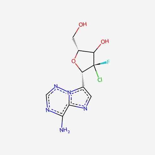 Nc1ncnn2c([C@@H]3O[C@H](CO)C(O)[C@]3(F)Cl)cnc12